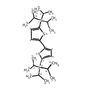 CC(C)[Si](c1ccc(-c2ccc([Si](C(C)C)(C(C)C)C(C)C)s2)s1)(C(C)C)C(C)C